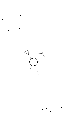 CCOCC(Oc1ccc(Br)cc1C1CC1)C(=O)[O-].[Na+]